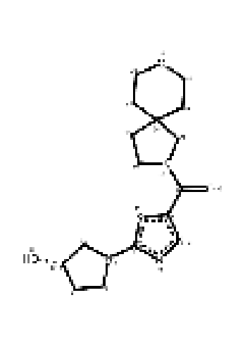 O=C(c1nnc(N2CC[C@H](O)C2)s1)N1CCC2(CCOCC2)C1